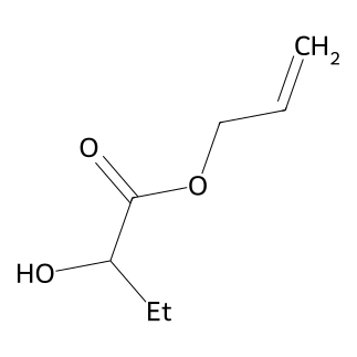 C=CCOC(=O)C(O)CC